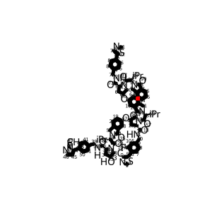 Cc1ncsc1-c1ccc(CNC(=O)[C@@H]2C[C@@H](Oc3ccc4c(c3)C(=O)N([C@H](C(=O)N3C[C@H](O)C[C@H]3C(=O)NCc3ccc(-c5ccnn5C)cc3)C(C)C)C4)CN2C(=O)[C@H](C(C)C)N2Cc3ccc(O[C@@H]4C[C@@H](C(=O)NCc5ccc(-c6cncs6)cc5)N(C(=O)[C@H](C(C)C)N5Cc6ccccc6C5=O)C4)cc3C2=O)cc1F